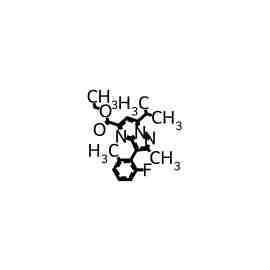 CCOC(=O)c1cc(C(C)C)n2nc(C)c(-c3c(C)cccc3F)c2n1